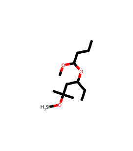 CCCC(OC)OC(CC)CC(C)(C)O[SiH3]